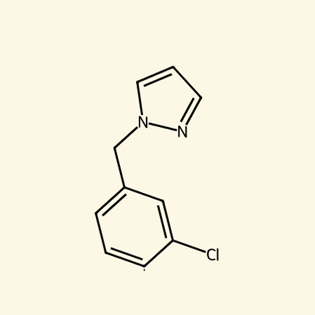 Clc1[c]ccc(Cn2cccn2)c1